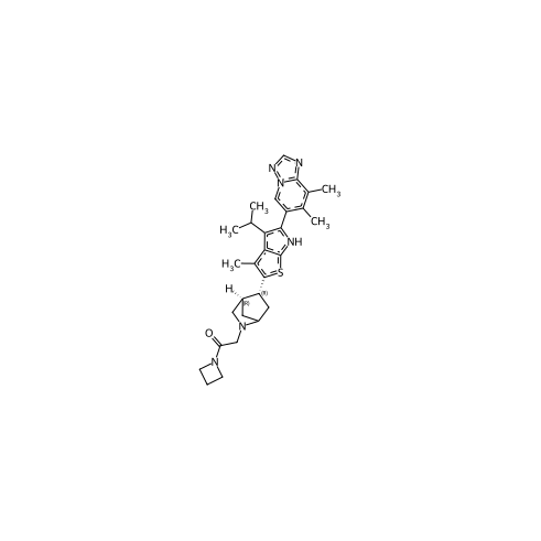 Cc1c(-c2[nH]c3sc([C@@H]4CC5C[C@H]4CN5CC(=O)N4CCC4)c(C)c3c2C(C)C)cn2ncnc2c1C